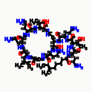 CC[C@H](C)CCCCC(=O)N[C@@H](CCN)C(=O)N[C@H](C(=O)N[C@@H](CCN)C(=O)N[C@H]1CCNC(=O)[C@H]([C@@H](C)O)NC(=O)[C@H](CCN)NC(=O)[C@H](CCN)NC(=O)C(CC(C)C)NC(=O)CNC(=O)[C@H](CCN)NC1O)[C@@H](C)O